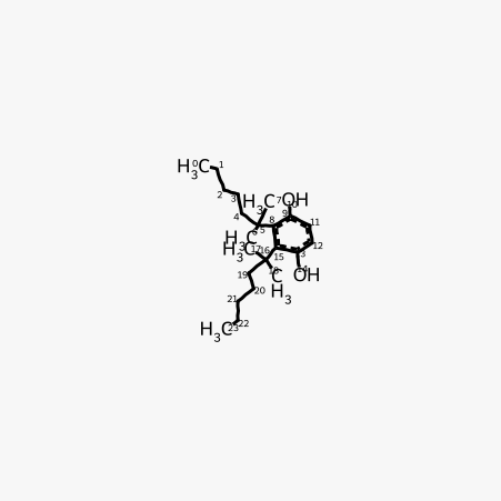 CCCCCC(C)(C)c1c(O)ccc(O)c1C(C)(C)CCCCC